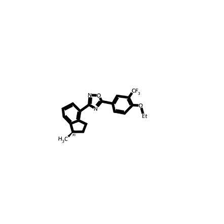 CCOc1ccc(-c2nc(-c3cccc4c3CC[C@H]4C)no2)cc1C(F)(F)F